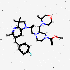 C=C(OC(C)(C)C)N1CCN(CC(=C)N2CC(C)(C)c3nc(CC)c(Cc4ccc(F)cc4)cc32)C(CN2CCOCC2C)C1